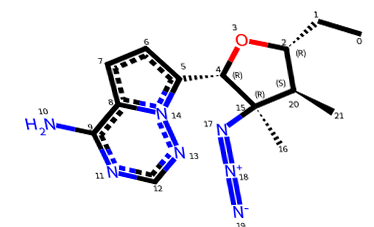 CC[C@H]1O[C@@H](c2ccc3c(N)ncnn23)[C@](C)(N=[N+]=[N-])[C@@H]1C